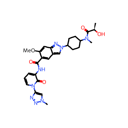 COc1cc2nn(C3CCC(N(C)C(=O)[C@@H](C)O)CC3)cc2cc1C(=O)Nc1cccn(-c2cn(C)nn2)c1=O